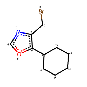 BrCc1ncoc1C1CCCCC1